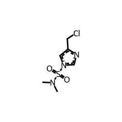 CN(C)S(=O)(=O)n1cnc(CCl)c1